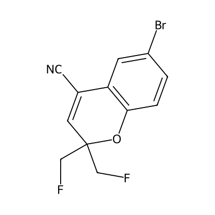 N#CC1=CC(CF)(CF)Oc2ccc(Br)cc21